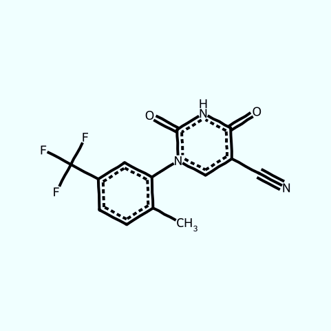 Cc1ccc(C(F)(F)F)cc1-n1cc(C#N)c(=O)[nH]c1=O